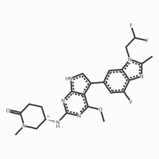 COc1nc(N[C@H]2CCC(=O)N(C)C2)nc2[nH]cc(-c3cc(F)c4nc(C)n(CC(F)F)c4c3)c12